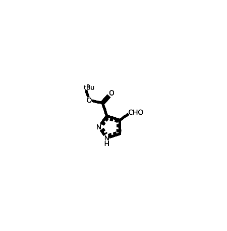 CC(C)(C)OC(=O)c1n[nH]cc1C=O